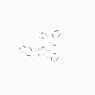 O=C(Nc1ccn2nccc2c1)C(Cc1ccccc1)N1CC(=O)N(c2cc(Cl)ccc2-n2cnnn2)CC1=O